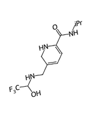 CC(C)NC(=O)C1=CC=C(CNC(O)C(F)(F)F)CN1